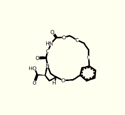 O=C1NCC(=O)N2C[C@@H](C[C@H]2C(=O)O)OCc2cccc(c2)CCCCCO1